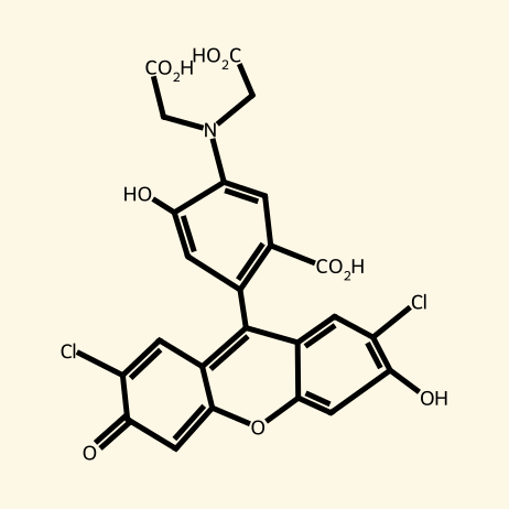 O=C(O)CN(CC(=O)O)c1cc(C(=O)O)c(-c2c3cc(Cl)c(=O)cc-3oc3cc(O)c(Cl)cc23)cc1O